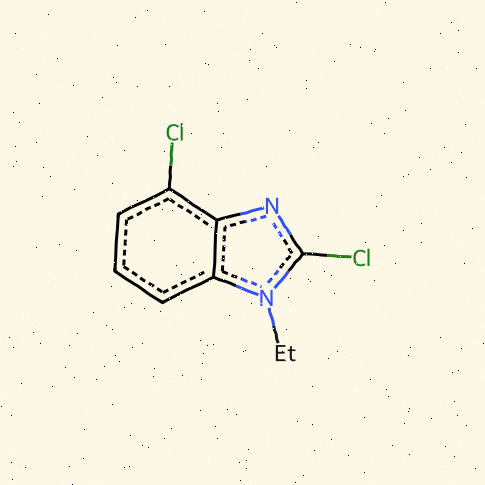 CCn1c(Cl)nc2c(Cl)cccc21